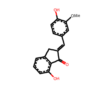 COc1cc(/C=C2\Cc3cccc(O)c3C2=O)ccc1O